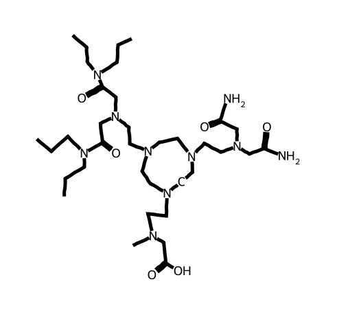 CCCN(CCC)C(=O)CN(CCN1CCN(CCN(C)CC(=O)O)CCN(CCN(CC(N)=O)CC(N)=O)CC1)CC(=O)N(CCC)CCC